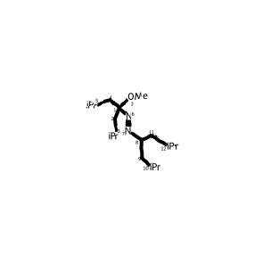 COC(CC(C)C)(CC(C)C)N=NC(CC(C)C)CC(C)C